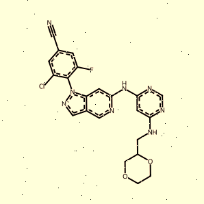 N#Cc1cc(F)c(-n2ncc3cnc(Nc4cc(NCC5COCCO5)ncn4)cc32)c(Cl)c1